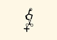 CC(C)(C)OC(=O)N1C=CC(C=O)CC1